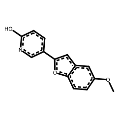 COc1ccc2oc(-c3ccc(O)nc3)cc2c1